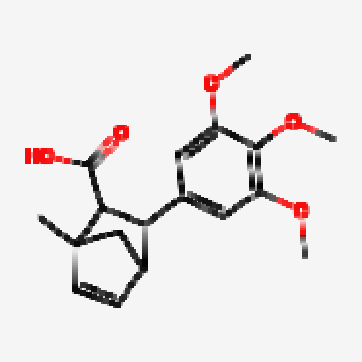 COc1cc(C2C3C=CC(C)(C3)C2C(=O)O)cc(OC)c1OC